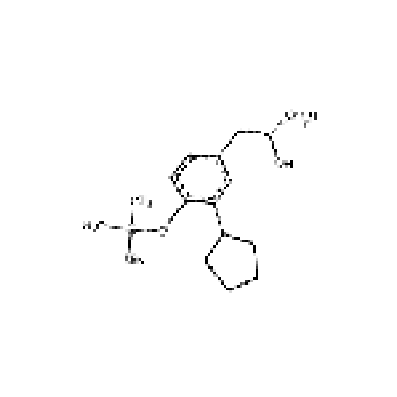 CC(C)(C)[Si](C)(C)Oc1ccc(C[C@@H](O)C(=O)O)cc1C1CCCC1